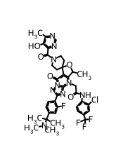 Cc1ncnc(C(=O)N2CCC3(CC2)OC(C)c2c3c(=O)n3nc(-c4ccc(C(C)(C)N(C)C)cc4F)nc3n2CC(=O)Nc2ccc(C(F)(F)F)cc2Cl)c1O